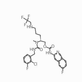 CN(C(=O)NCc1cccc(F)c1Cl)[C@@H](CCCNCC(F)(F)F)COC(=O)Nc1cc2cc(F)ccc2cn1